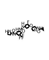 O=C(Nc1cc(NC(=O)[C@@H]2CCCN2)cc(C(F)(F)F)c1)Nc1ccc(Oc2ccnc(NC(=O)C3CC3)c2)c(F)c1